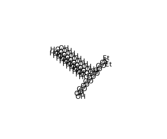 CCC(COCCOCCOCCOCCOCCOCCOCCOCCO)SC(CC)COCCOCCOCCOCCOCCOCCOCCOCCO.OCC(O)CO.OCC(O)CO.OCC(O)CO.OCC(O)CO.OCC(O)CO.OCC(O)CO.OCC(O)CO.OCC(O)CO.OCC(O)CO.OCC(O)CO